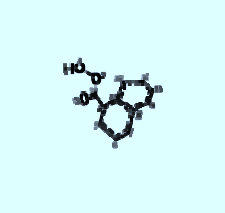 O=C(OO)c1cccc2ccccc12